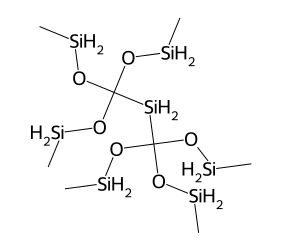 C[SiH2]OC(O[SiH2]C)(O[SiH2]C)[SiH2]C(O[SiH2]C)(O[SiH2]C)O[SiH2]C